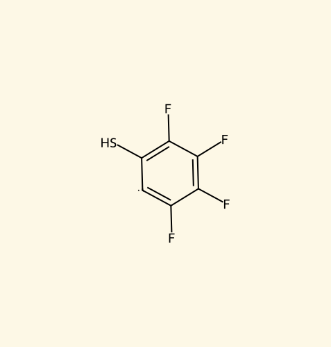 Fc1[c]c(S)c(F)c(F)c1F